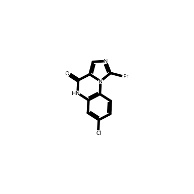 CC(C)c1ncc2c(=O)[nH]c3cc(Cl)ccc3n12